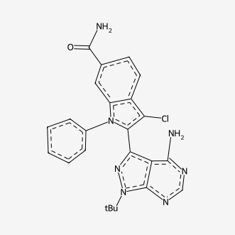 CC(C)(C)n1nc(-c2c(Cl)c3ccc(C(N)=O)cc3n2-c2ccccc2)c2c(N)ncnc21